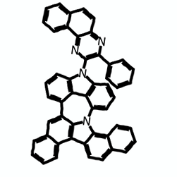 c1ccc(-c2nc3ccc4ccccc4c3nc2-n2c3cccc4c5cc6ccccc6c6c7ccc8ccccc8c7n(c7cccc2c7c43)c56)cc1